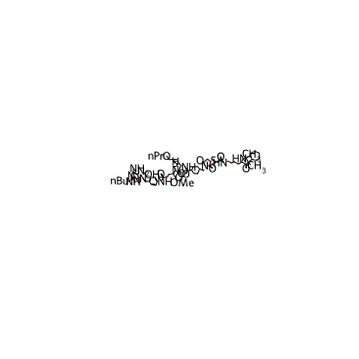 CCCCNc1nc(N)c2nc(O)n(Cc3ccc(NC(=O)CCC(NC(=O)C(CSCCOCCC)NC(=O)C4CCC(CN5C(=O)CC(SCC(=O)NCCCCC6NC7(C)C8CCCCCC8C7(C)C6=O)C5=O)CC4)C(=O)OC)cc3)c2n1